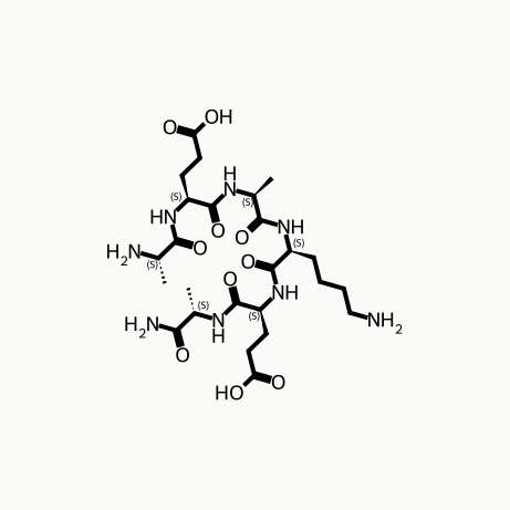 C[C@H](N)C(=O)N[C@@H](CCC(=O)O)C(=O)N[C@@H](C)C(=O)N[C@@H](CCCCN)C(=O)N[C@@H](CCC(=O)O)C(=O)N[C@@H](C)C(N)=O